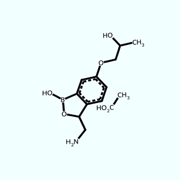 CC(=O)O.CC(O)COc1ccc2c(c1)B(O)OC2CN